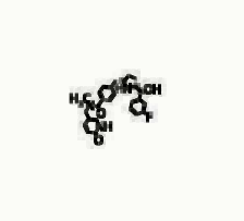 CN(Cc1ccc(=O)[nH]c1)C(=O)c1ccc(C[C@@H]2CC[C@H]([C@H](O)c3cccc(F)c3)N2)cc1